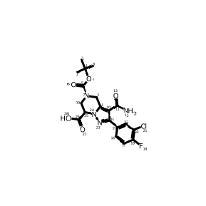 CC(C)(C)OC(=O)N1Cc2c(C(N)=O)c(-c3ccc(F)c(Cl)c3)nn2C(C(=O)O)C1